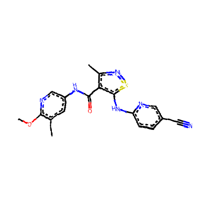 COc1ncc(NC(=O)c2c(C)nsc2Nc2ccc(C#N)cn2)cc1C